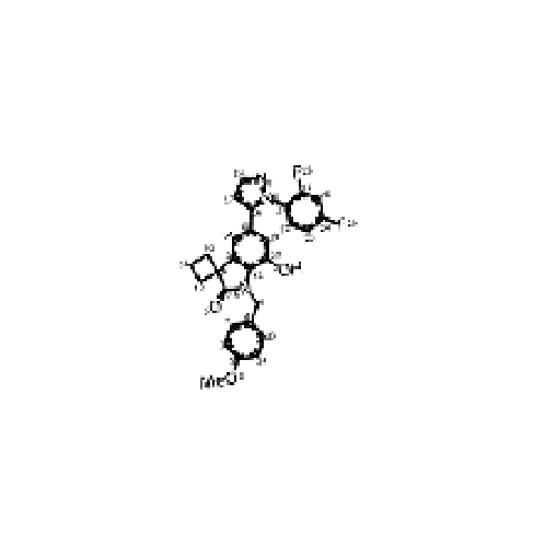 COc1ccc(CN2C(=O)C3(CCC3)c3cc(-c4ccnn4-c4ccc(F)cc4F)cc(O)c32)cc1